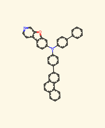 c1ccc(-c2ccc(N(c3ccc(-c4ccc5c(ccc6ccccc65)c4)cc3)c3ccc4c(c3)oc3cnccc34)cc2)cc1